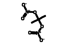 CC(C)(O[N+](=O)[O-])O[N+](=O)[O-]